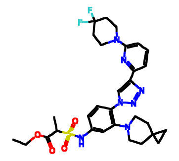 CCOC(=O)C(C)S(=O)(=O)Nc1ccc(-n2cc(-c3cccc(N4CCC(F)(F)CC4)n3)nn2)c(N2CCC3(CC2)CC3)c1